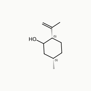 C=C(C)[C@@H]1CC[C@H](C)CC1O